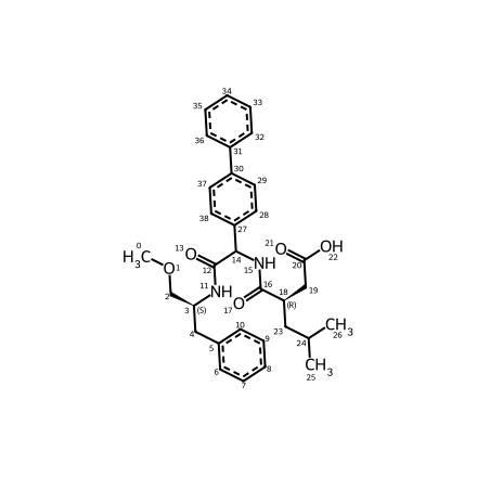 COC[C@H](Cc1ccccc1)NC(=O)C(NC(=O)[C@@H](CC(=O)O)CC(C)C)c1ccc(-c2ccccc2)cc1